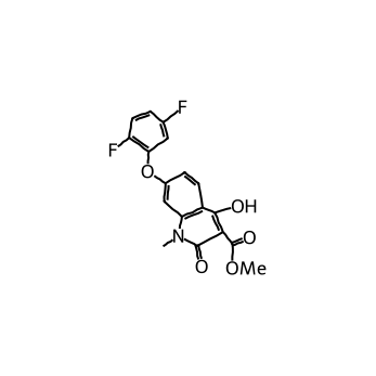 COC(=O)c1c(O)c2ccc(Oc3cc(F)ccc3F)cc2n(C)c1=O